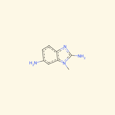 Cn1c(N)nc2ccc(N)cc21